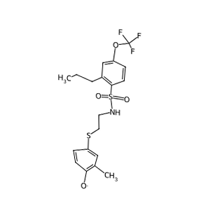 CCCc1cc(OC(F)(F)F)ccc1S(=O)(=O)NCCSc1ccc([O])c(C)c1